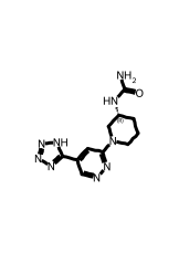 NC(=O)N[C@@H]1CCCN(c2cc(-c3nnn[nH]3)cnn2)C1